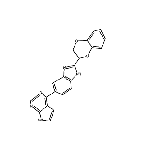 c1ccc2c(c1)OCC(c1nc3cc(-c4ncnc5[nH]ccc45)ccc3[nH]1)O2